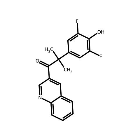 CC(C)(C(=O)c1cnc2ccccc2c1)c1cc(F)c(O)c(F)c1